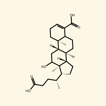 C[C@H](CCC(=O)O)[C@H]1CC[C@H]2[C@@H]3CCC4C(C(=O)O)=CCC[C@]4(C)[C@H]3CC(O)[C@]12C